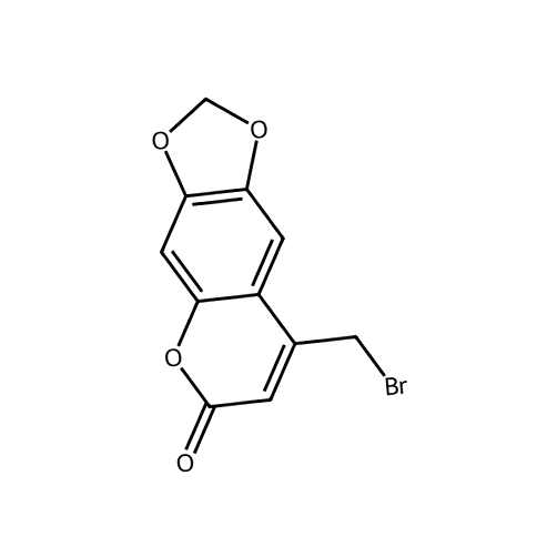 O=c1cc(CBr)c2cc3c(cc2o1)OCO3